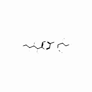 CCCCO[C@H](Cc1cnc([C@@H](O)[C@H](O)[C@H](O)CO)cn1)[C@H](O)CO